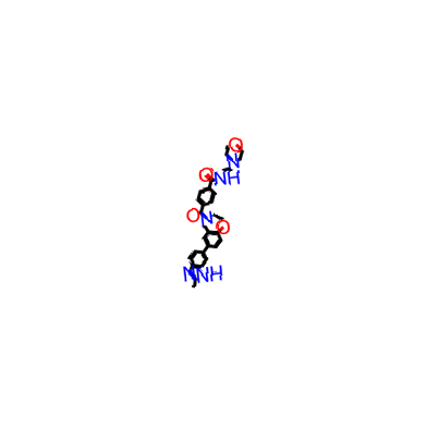 Cc1nc2ccc(-c3ccc4c(c3)CN(C(=O)c3ccc(C(=O)NCCN5CCOCC5)cc3)CCO4)cc2[nH]1